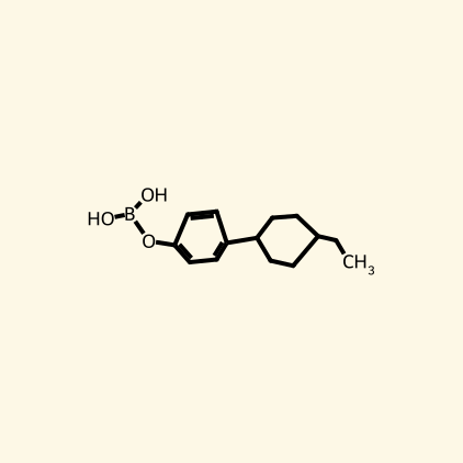 CCC1CCC(c2ccc(OB(O)O)cc2)CC1